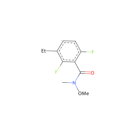 CCc1[c]cc(F)c(C(=O)N(C)OC)c1F